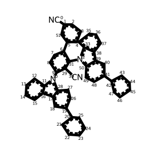 N#Cc1cccc(-c2ccc(-n3c4ccccc4c4cc(-c5ccccc5)ccc43)c(C#N)c2-n2c3ccccc3c3cc(-c4ccccc4)ccc32)c1